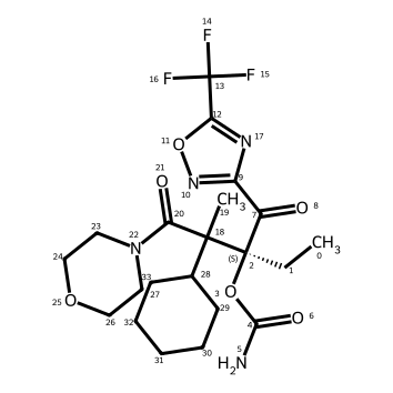 CC[C@@](OC(N)=O)(C(=O)c1noc(C(F)(F)F)n1)C(C)(C(=O)N1CCOCC1)C1CCCCC1